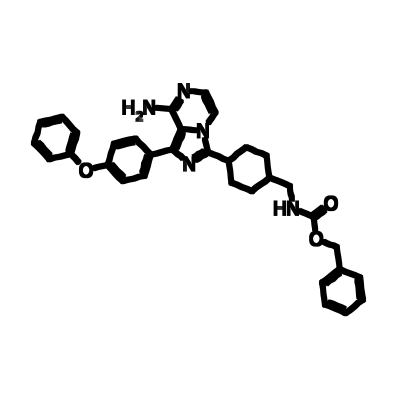 Nc1nccn2c(C3CCC(CNC(=O)OCc4ccccc4)CC3)nc(-c3ccc(Oc4ccccc4)cc3)c12